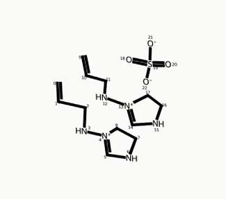 C=CCN[N+]1=CNCC1.C=CCN[N+]1=CNCC1.O=S(=O)([O-])[O-]